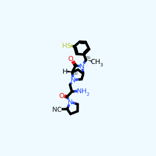 C[C@@H](c1cccc(S)c1)N1C(=O)[C@@H]2CC1CN2CC(N)C(=O)N1CCCC1C#N